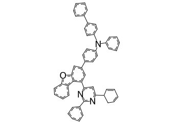 C1=CCC(c2cc(-c3cc(-c4ccc(N(c5ccccc5)c5ccc(-c6ccccc6)cc5)cc4)cc4oc5ccccc5c34)nc(-c3ccccc3)n2)C=C1